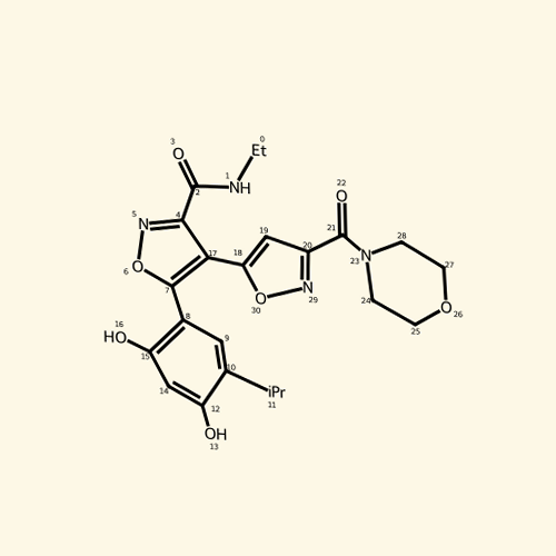 CCNC(=O)c1noc(-c2cc(C(C)C)c(O)cc2O)c1-c1cc(C(=O)N2CCOCC2)no1